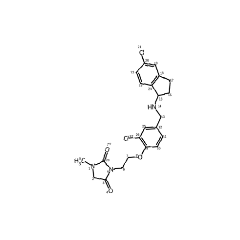 CN1CC(=O)N(CCOc2ccc(CNC3CCc4cc(Cl)ccc43)cc2Cl)C1=O